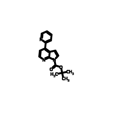 CC(C)(C)OC(=O)n1ccc2c(-c3ccccn3)ccnc21